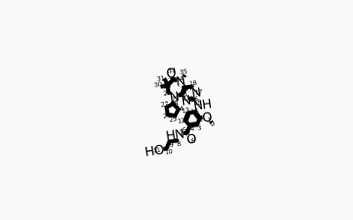 COc1cc(C(=O)NCCCO)ccc1Nc1ncc2c(n1)N(C1CCCC1)CC(C)(C)C(=O)N2C